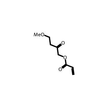 C=CC(=O)OCC(=O)CCOC